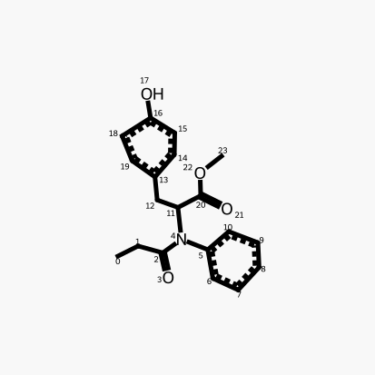 CCC(=O)N(c1ccccc1)C(Cc1ccc(O)cc1)C(=O)OC